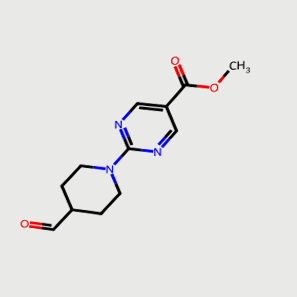 COC(=O)c1cnc(N2CCC(C=O)CC2)nc1